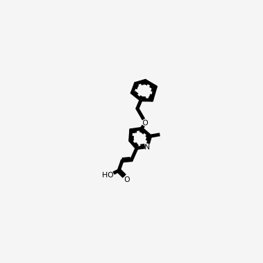 Cc1nc(C=CC(=O)O)ccc1OCc1ccccc1